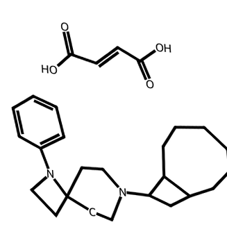 O=C(O)C=CC(=O)O.c1ccc(N2CCC23CCN(C2CC4CCCCCCC42)CC3)cc1